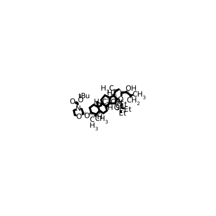 C=C(C)[C@@H](O)[C@H]1C[C@@H](C)[C@H]2[C@H](O1)[C@H](O[Si](CC)(CC)CC)[C@@]1(C)[C@@H]3CC[C@H]4C(C)(C)[C@@H](O[C@H]5CN(C(=O)OC(C)(C)C)CCO5)CCC45C[C@@]35CC[C@]21C